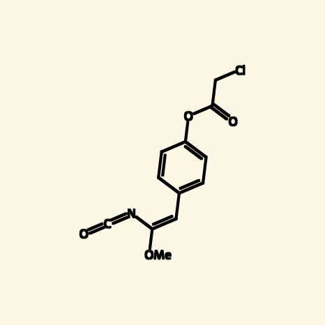 COC(=Cc1ccc(OC(=O)CCl)cc1)N=C=O